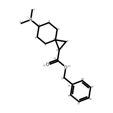 CN(C)C1CCC2(CC1)CC2C(=O)OCc1ccccc1